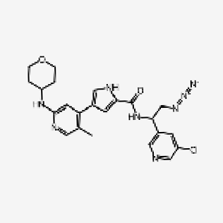 Cc1cnc(NC2CCOCC2)cc1-c1c[nH]c(C(=O)NC(CN=[N+]=[N-])c2cncc(Cl)c2)c1